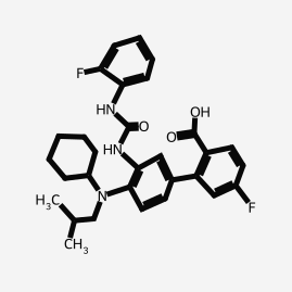 CC(C)CN(c1ccc(-c2cc(F)ccc2C(=O)O)cc1NC(=O)Nc1ccccc1F)C1CCCCC1